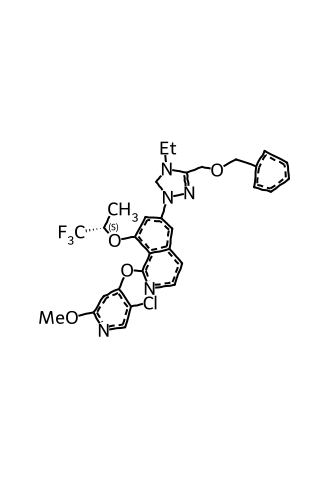 CCN1CN(c2cc(O[C@@H](C)C(F)(F)F)c3c(Oc4cc(OC)ncc4Cl)nccc3c2)N=C1COCc1ccccc1